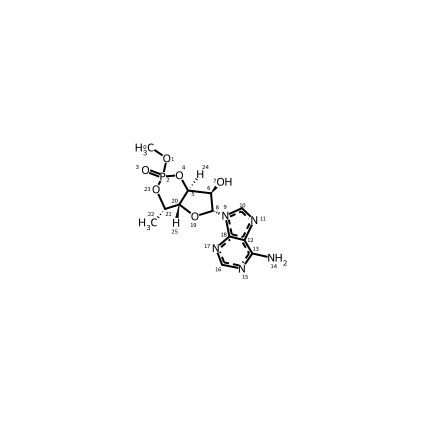 COP1(=O)O[C@H]2[C@@H](O)[C@H](n3cnc4c(N)ncnc43)O[C@@H]2[C@H](C)O1